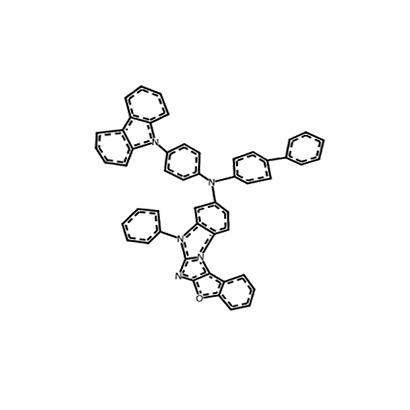 c1ccc(-c2ccc(N(c3ccc(-n4c5ccccc5c5ccccc54)cc3)c3ccc4c(c3)n(-c3ccccc3)c3nc5oc6ccccc6c5n43)cc2)cc1